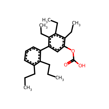 CCCc1cccc(-c2cc(OC(=O)O)c(CC)c(CC)c2CC)c1CCC